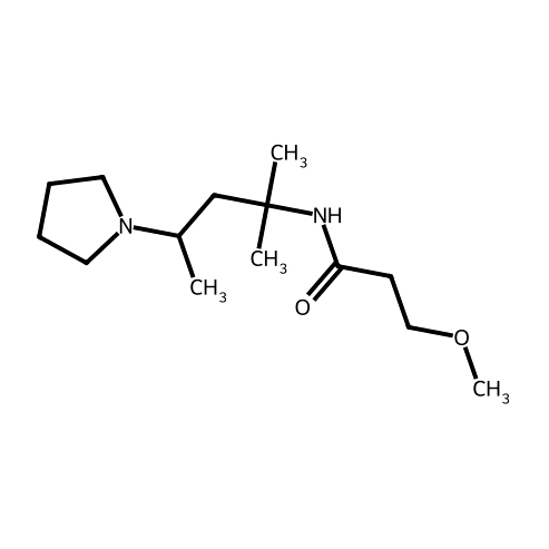 COCCC(=O)NC(C)(C)CC(C)N1CCCC1